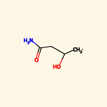 [CH2]C(O)CC(N)=O